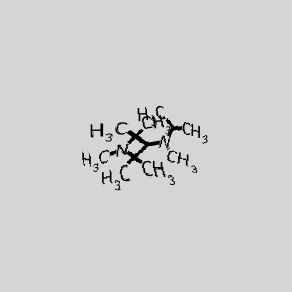 CC(C)N(C)C1C(C)(C)N(C)C1(C)C